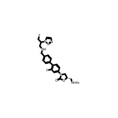 CC(=O)NC[C@H]1CN(c2ccc(-c3ccc(CNCC(CF)n4ccnn4)cc3)c(F)c2)C(=O)O1